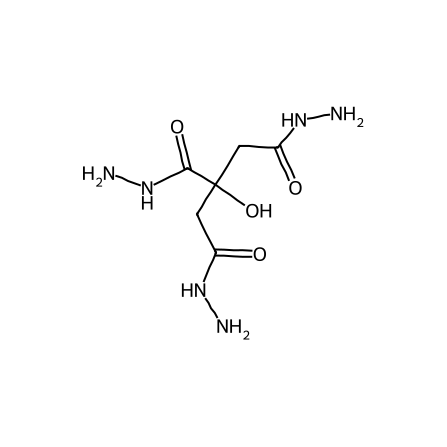 NNC(=O)CC(O)(CC(=O)NN)C(=O)NN